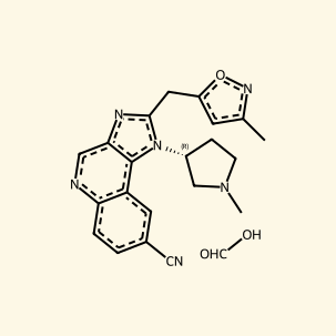 Cc1cc(Cc2nc3cnc4ccc(C#N)cc4c3n2[C@@H]2CCN(C)C2)on1.O=CO